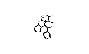 CC(C)=C1C(C)CC(c2ccccc2)=C(c2ccccc2F)N1CO